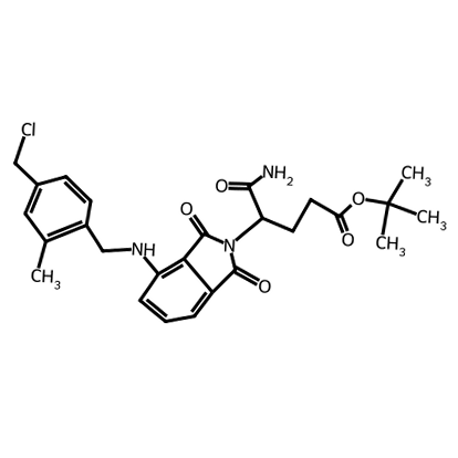 Cc1cc(CCl)ccc1CNc1cccc2c1C(=O)N(C(CCC(=O)OC(C)(C)C)C(N)=O)C2=O